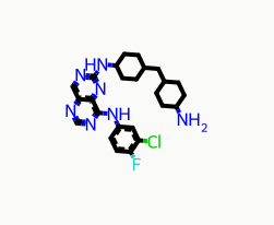 NC1CCC(CC2CCC(Nc3ncc4ncnc(Nc5ccc(F)c(Cl)c5)c4n3)CC2)CC1